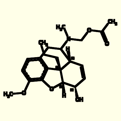 CCC[C@]12c3c4ccc(OC)c3O[C@H]1[C@@H](O)C=C[C@H]2C(N(C)COC(C)=O)C4